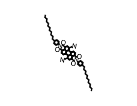 CCCCCCCCCCCCc1ccc(N2C(=O)c3ccc4c5c(C#N)cc6c7c(ccc(c8c(C#N)cc(c3c48)C2=O)c75)C(=O)N(c2ccc(CCCCCCCCCCCC)cc2)C6=O)cc1